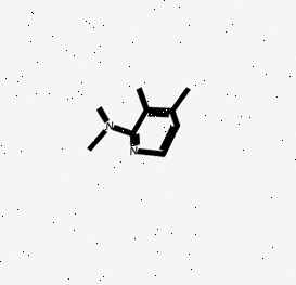 Cc1ccnc(N(C)C)c1C